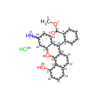 COC(=O)c1ccccc1-c1c2ccc(=N)cc-2oc2c1ccc1cccc(O)c12.Cl